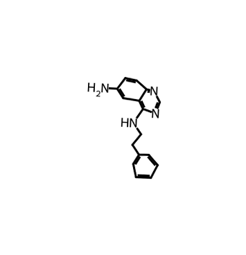 Nc1ccc2ncnc(NCCc3ccccc3)c2c1